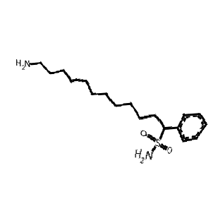 NCCCCCCCCCCCC(c1ccccc1)S(N)(=O)=O